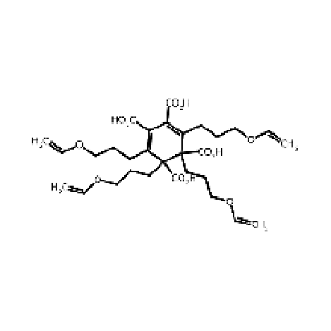 C=COCCCC1=C(C(=O)O)C(C(=O)O)=C(CCCOC=C)C(CCCOC=C)(C(=O)O)C1(CCCOC=C)C(=O)O